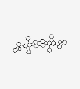 c1ccc(-c2c3cc(-c4cccc5c4oc4ccccc45)cc4c5ccccc5c(c34)c3c4ccc5c6ccc7c8c(-c9ccccc9)c9cc(-c%10cccc%11c%10oc%10ccccc%10%11)cc%10c%11ccccc%11c(c9%10)c8c8ccc(c9ccc(c23)c4c95)c6c78)cc1